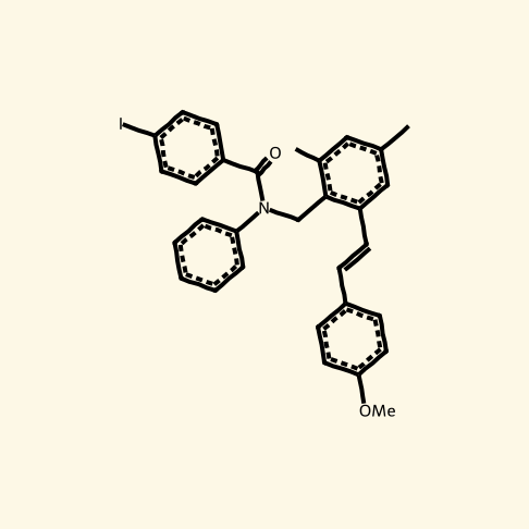 COc1ccc(C=Cc2cc(C)cc(C)c2CN(C(=O)c2ccc(I)cc2)c2ccccc2)cc1